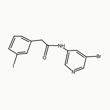 O=C(Cc1cccc(I)c1)Nc1cncc(Br)c1